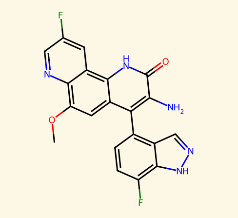 COc1cc2c(-c3ccc(F)c4[nH]ncc34)c(N)c(=O)[nH]c2c2cc(F)cnc12